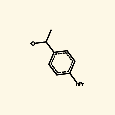 CCCc1ccc(C(C)[O])cc1